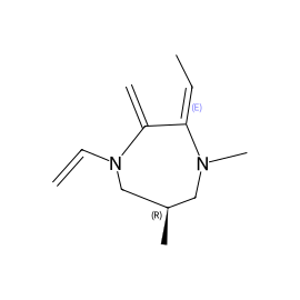 C=CN1C[C@H](C)CN(C)/C(=C/C)C1=C